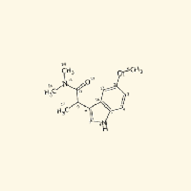 COc1ccc2[nH]cc(C(C)C(=O)N(C)C)c2c1